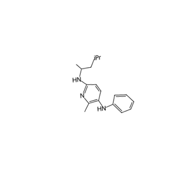 Cc1nc(NC(C)CC(C)C)ccc1Nc1ccccc1